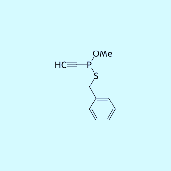 C#CP(OC)SCc1ccccc1